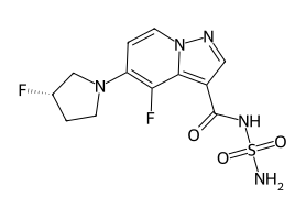 NS(=O)(=O)NC(=O)c1cnn2ccc(N3CC[C@H](F)C3)c(F)c12